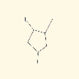 CC1CC(C)C(I)C1